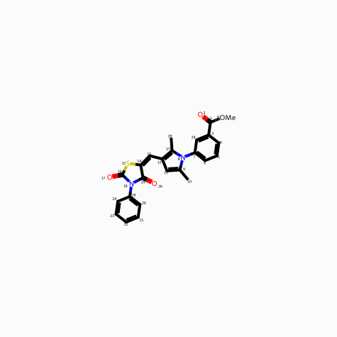 COC(=O)c1cccc(-n2c(C)cc(C=C3SC(=O)N(c4ccccc4)C3=O)c2C)c1